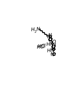 CN1CCC[C@@H]1c1cc2cnc(NC(=O)c3ccc4c(cnn4CCCCCCCCN)c3)cc2[nH]1.Cl.Cl